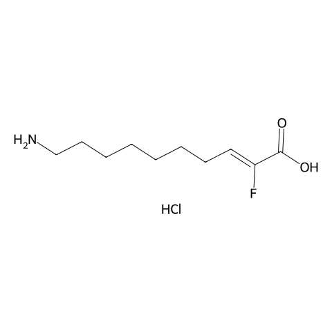 Cl.NCCCCCCCC=C(F)C(=O)O